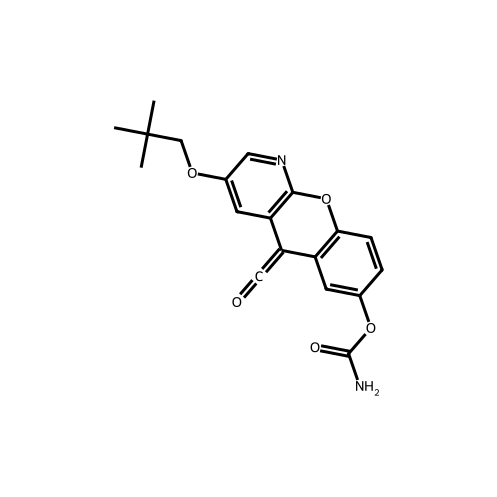 CC(C)(C)COc1cnc2c(c1)C(=C=O)c1cc(OC(N)=O)ccc1O2